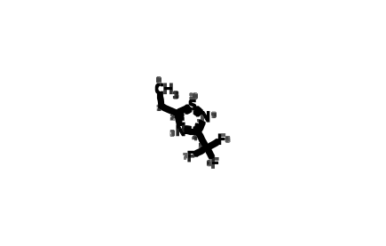 CCc1nc(C(F)(F)F)ns1